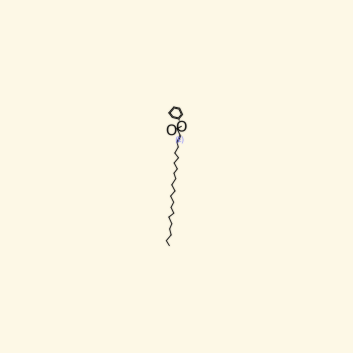 CCCCCCCCCCCCCCCCCCC/C=C/C(=O)Oc1ccccc1